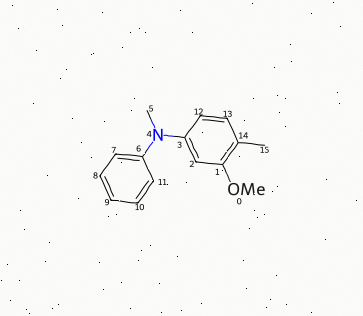 COc1cc(N(C)c2ccccc2)ccc1C